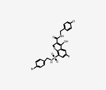 O=C(NCc1ccc(Cl)cc1)c1cnc2c(S(=O)(=O)NCc3ccc(Br)cc3)cc(F)cc2c1O